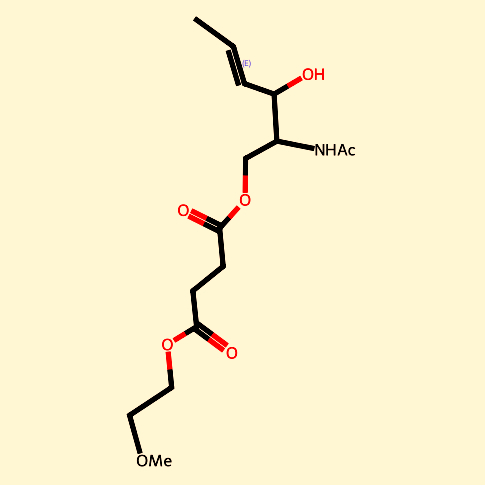 C/C=C/C(O)C(COC(=O)CCC(=O)OCCOC)NC(C)=O